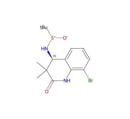 CC1(C)C(=O)Nc2c(Br)cccc2[C@@H]1N[S+]([O-])C(C)(C)C